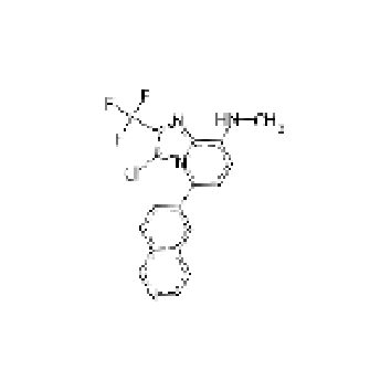 CNc1ccc(-c2ccc3cnccc3c2)n2c(Cl)c(C(F)(F)F)nc12